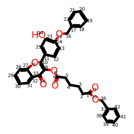 O=C(CCCCC(=O)Oc1c(-c2ccc(OCc3ccccc3)c(O)c2)oc2ccccc2c1=O)OCc1ccccc1